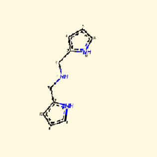 c1c[nH]c(CNCc2ccc[nH]2)c1